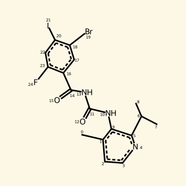 Cc1ccnc(C(C)C)c1NC(=O)NC(=O)c1cc(Br)c(I)cc1F